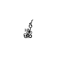 CCCCN1CCC(CNC(=O)Oc2c3n(c4ccccc24)CCCO3)CC1